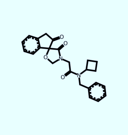 O=C(CN1COC2(C(=O)Cc3ccccc32)C1=O)N(Cc1ccccc1)C1CCC1